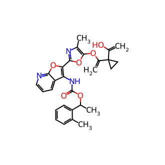 C=C(O)C1(C(=C)Oc2oc(-c3oc4ncccc4c3NC(=O)OC(C)c3ccccc3C)nc2C)CC1